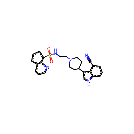 N#Cc1cccc2[nH]cc(C3CCN(CCNS(=O)(=O)c4cccc5cccnc45)CC3)c12